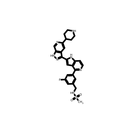 CS(=O)(=O)NCc1cc(F)cc(-c2nccc3[nH]c(-c4n[nH]c5cnc(C6CCNCC6)cc45)cc23)c1